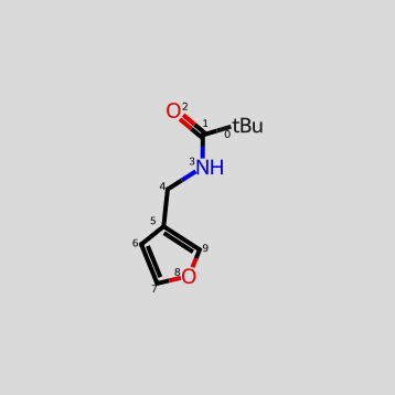 CC(C)(C)C(=O)NCc1ccoc1